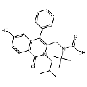 CC(C)Cn1c(CN(C(=O)O)C(C)(C)C)c(-c2ccccc2)c2cc(O)ccc2c1=O